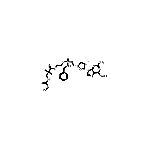 CCOc1nc(N)nc2c1ncn2[C@@H]1O[C@H](COP(=O)(NCc2ccccc2)OCCSC(=O)C(C)(C)CNC(=O)OC(C)C)C[C@@H]1C